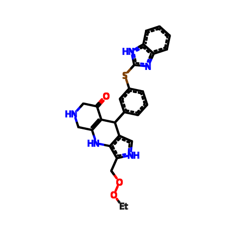 CCOOCc1[nH]cc2c1NC1=C(C(=O)CNC1)C2c1cccc(Sc2nc3ccccc3[nH]2)c1